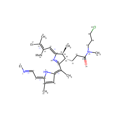 CC/N=C/C=c1\[nH]/c(=C(/C)C2=N/C(=C\C(NC)=C(/C)CC)[C@@H](C)[C@@H]2CCC(=O)N(C)CCCCl)cc1C